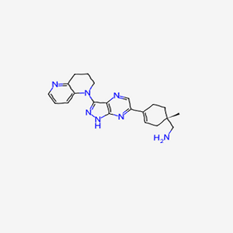 C[C@@]1(CN)CC=C(c2cnc3c(N4CCCc5ncccc54)n[nH]c3n2)CC1